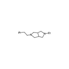 CCN1CC2CN(CCC(C)C)CC2C1